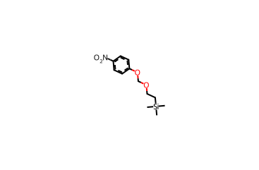 C[Si](C)(C)CCOCOc1ccc([N+](=O)[O-])cc1